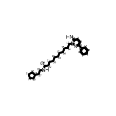 N=c1ccc(-c2ccccc2)nn1CCCCCCCCCCC(=O)NCCC1CCCC1